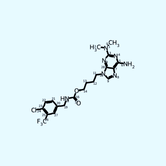 CN(C)c1nc(N)c2ncn(CCCCOC(=O)NCc3ccc(Cl)c(C(F)(F)F)c3)c2n1